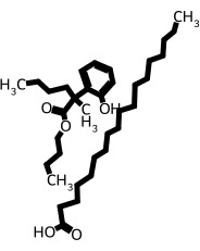 CCCCCCCCCCCCCCCCCC(=O)O.CCCCOC(=O)C(C)(CCCC)c1ccccc1O